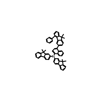 CC1(C)c2ccccc2-c2ccc(N(c3ccc4c(c3)C(C)(C)c3ccccc3-4)c3ccc(-c4ccc5c(c4)-c4c(-c6ccccc6)cccc4C5(C)C)c4ccccc34)cc21